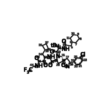 CC(C)(C)[C@H](NC(=O)CC1CCCCC1)C(=O)N1C[C@@]2(CC(c3cccc(Cl)c3)=NO2)C[C@H]1C(=O)NC(CC1CCC1)C(=O)C(=O)NCC(F)(F)F